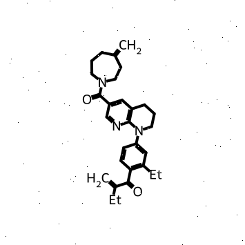 C=C1CCCN(C(=O)c2cnc3c(c2)CCCN3c2ccc(C(=O)C(=C)CC)c(CC)c2)CC1